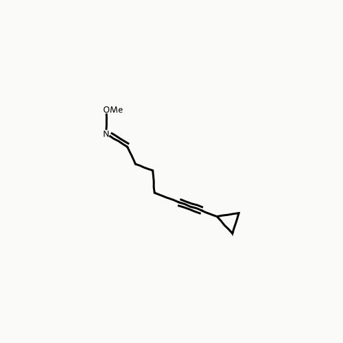 CON=CCCCC#CC1[CH]C1